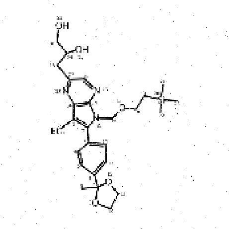 CCc1c(-c2ccc(C3(C)OCCO3)cc2)n(COCC[Si](C)(C)C)c2ncc(CC(O)CO)nc12